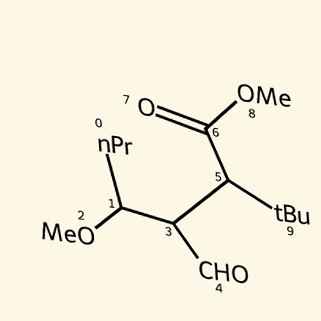 CCCC(OC)C(C=O)C(C(=O)OC)C(C)(C)C